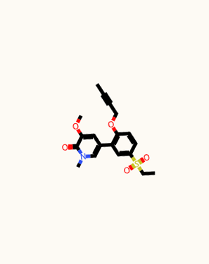 CC#CCOc1ccc(S(=O)(=O)CC)cc1-c1cc(OC)c(=O)n(C)c1